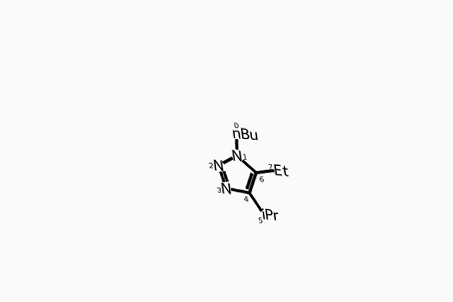 CCCCn1nnc(C(C)C)c1CC